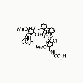 COc1nc(OCc2cccc(-c3cccc(COc4nc(OC)c(CNCC(=O)O)cc4Cl)c3C)c2C)c(Cl)cc1CNCC(=O)O